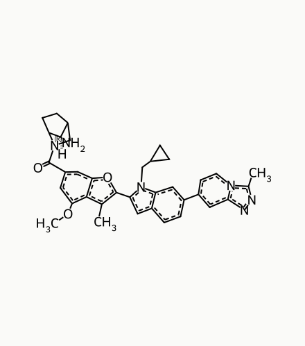 COc1cc(C(=O)N2CC3CCC2[C@@H]3N)cc2oc(-c3cc4ccc(-c5ccn6c(C)nnc6c5)cc4n3CC3CC3)c(C)c12